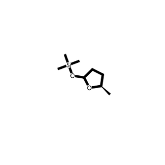 C[C@@H]1CCC(O[Si](C)(C)C)O1